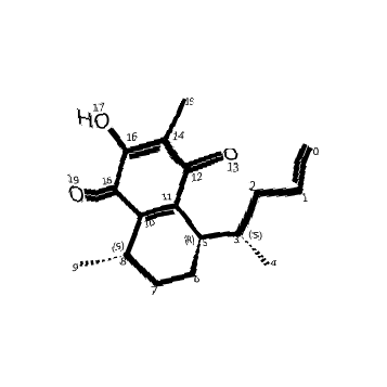 C=CC[C@H](C)[C@H]1CC[C@H](C)C2=C1C(=O)C(C)=C(O)C2=O